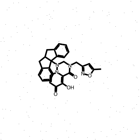 Cc1cc(CN2CN(C34c5ccccc5CC3Cc3ccccc34)n3ccc(=O)c(O)c3C2=O)no1